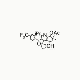 CC(=O)OC1c2nc(C(C)C)c3c(c2C(O)CC1(C)C)C1(CCCC1)OC3c1ccc(C(F)(F)F)cc1